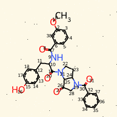 COc1cccc(C(=O)NC(Cc2ccc(O)cc2)C(=O)N2CCC3C2C(=O)CN3C(=O)c2ccccc2)c1